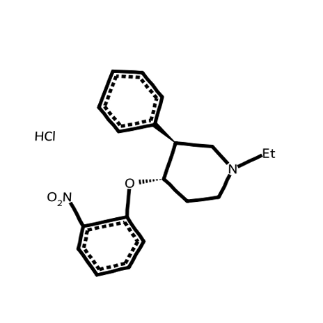 CCN1CC[C@H](Oc2ccccc2[N+](=O)[O-])[C@@H](c2ccccc2)C1.Cl